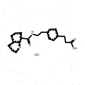 Cl.O=C(O)CCc1ccc(CCNC(=O)c2cccc3cccnc23)cc1